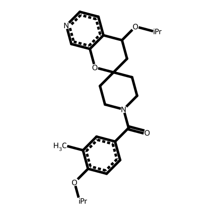 Cc1cc(C(=O)N2CCC3(CC2)CC(OC(C)C)c2ccncc2O3)ccc1OC(C)C